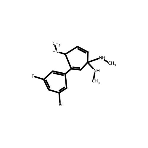 CNC1C=CC(NC)(NC)C=C1c1cc(F)cc(Br)c1